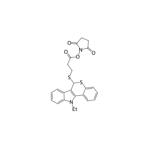 CCn1c2c(c3ccccc31)C(SCCC(=O)ON1C(=O)CCC1=O)Sc1ccccc1-2